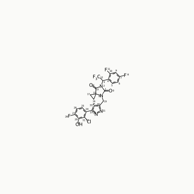 O=C1N(C(c2ccc(F)cc2F)C(F)(F)F)C(=O)C2(CC2)N1Cc1nnc(-c2ccc(F)c(O)c2Cl)s1